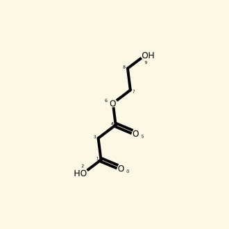 O=C(O)CC(=O)OCCO